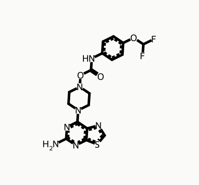 Nc1nc(N2CCN(OC(=O)Nc3ccc(OC(F)F)cc3)CC2)c2ncsc2n1